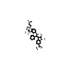 COC(=O)c1ccc2c(c1)NC(=O)/C2=C(\Nc1ccc(N(CCN(C)C)S(C)(=O)=O)c(N)c1)c1ccccc1